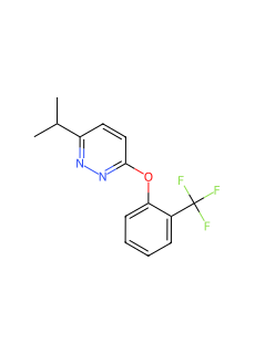 CC(C)c1ccc(Oc2ccccc2C(F)(F)F)nn1